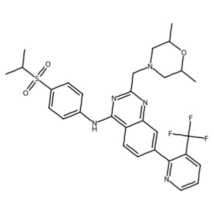 CC1CN(Cc2nc(Nc3ccc(S(=O)(=O)C(C)C)cc3)c3ccc(-c4ncccc4C(F)(F)F)cc3n2)CC(C)O1